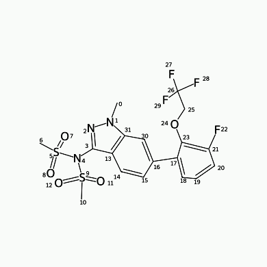 Cn1nc(N(S(C)(=O)=O)S(C)(=O)=O)c2ccc(-c3cccc(F)c3OCC(F)(F)F)cc21